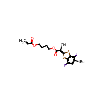 C=CC(=O)OCCCCOC(=O)/C(C#N)=C1\Sc2c(I)cc(C(C)(C)C)c(I)c2S1